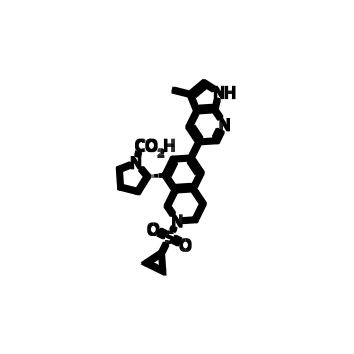 Cc1c[nH]c2ncc(-c3cc4c(c([C@@H]5CCCN5C(=O)O)c3)CN(S(=O)(=O)C3CC3)CC4)cc12